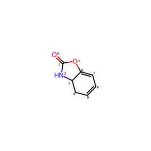 O=C1NC2[CH]C=CC=C2O1